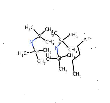 CCC[CH2][Al+2].C[Si](C)(C)[N-][Si](C)(C)C.C[Si](C)(C)[N-][Si](C)(C)C